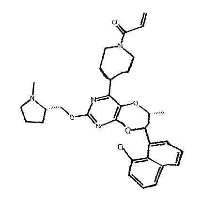 C=CC(=O)N1CCC(c2nc(OC[C@@H]3CCCN3C)nc3c2O[C@H](C)C(c2cccc4cccc(Cl)c24)O3)CC1